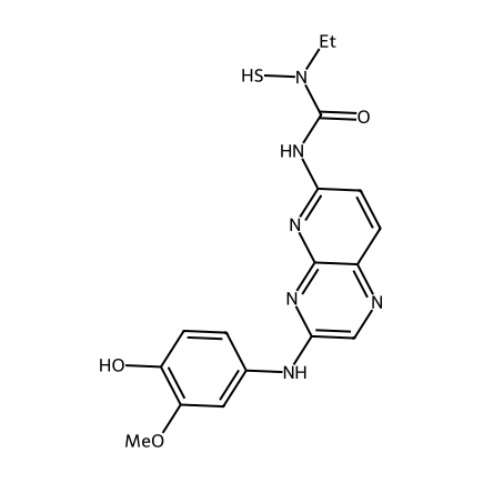 CCN(S)C(=O)Nc1ccc2ncc(Nc3ccc(O)c(OC)c3)nc2n1